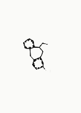 Nc1ccc2c(c1)CC(CC(=O)O)c1ccccc1C2